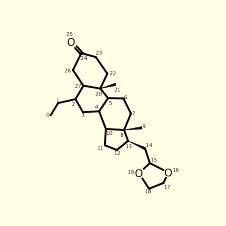 CCC1CC2C(CC[C@@]3(C)C2CC[C@@H]3CC2OCCO2)[C@@]2(C)CCC(=O)CC12